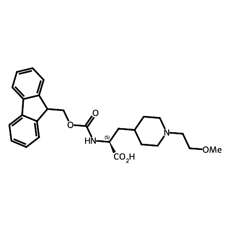 COCCN1CCC(C[C@H](NC(=O)OCC2c3ccccc3-c3ccccc32)C(=O)O)CC1